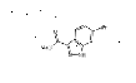 COC(=O)c1n[nH]c2cc(C(C)C)ccc12